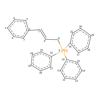 C(=C\c1ccccc1)/C[PH](c1ccccc1)(c1ccccc1)c1ccccc1